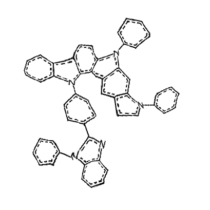 c1ccc(-n2ccc3cc4c5c(ccc6c7ccccc7n(-c7ccc(-c8nc9ccccc9n8-c8ccccc8)cc7)c65)n(-c5ccccc5)c4cc32)cc1